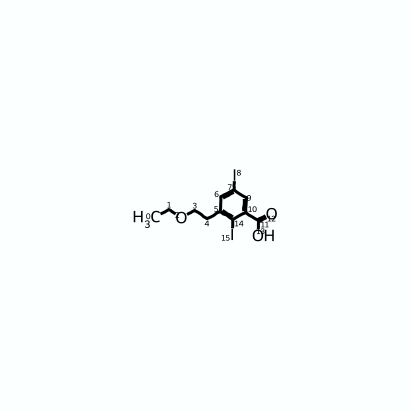 CCOCCc1cc(I)cc(C(=O)O)c1I